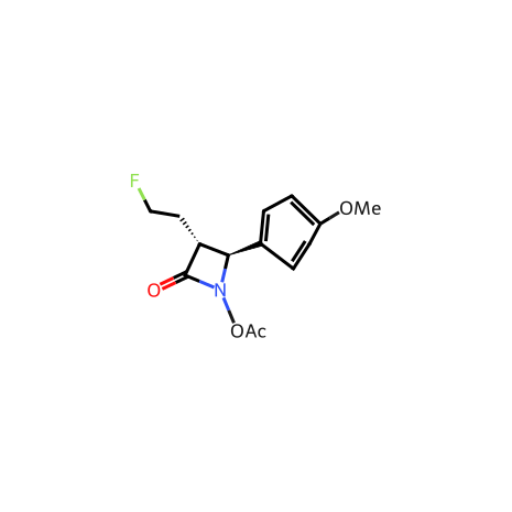 COc1ccc([C@@H]2[C@@H](CCF)C(=O)N2OC(C)=O)cc1